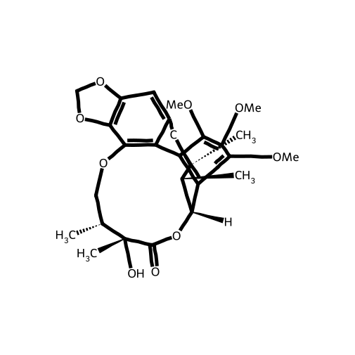 COc1cc2c(c(OC)c1OC)-c1c3cc4c(c1OC[C@@H](C)[C@@](C)(O)C(=O)O[C@@H]2[C@@H](C)[C@@H](C)C3)OCO4